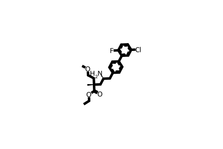 CCOC(=O)[C@](C)(CCOC)C[C@H](N)Cc1ccc(-c2cc(Cl)ccc2F)cc1